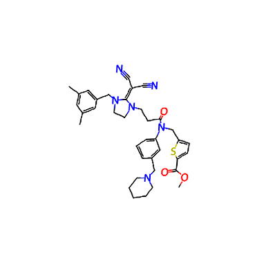 COC(=O)c1ccc(CN(C(=O)CCN2CCN(Cc3cc(C)cc(C)c3)C2=C(C#N)C#N)c2cccc(CN3CCCCC3)c2)s1